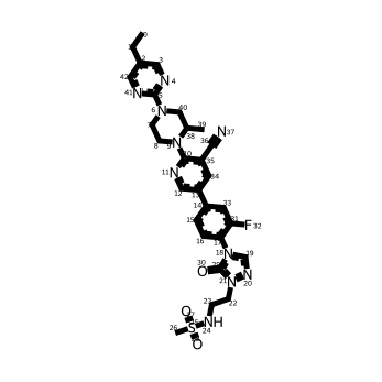 CCc1cnc(N2CCN(c3ncc(-c4ccc(-n5cnn(CCNS(C)(=O)=O)c5=O)c(F)c4)cc3C#N)C(C)C2)nc1